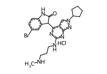 CNCCCNc1nc(C2C(=O)Nc3ccc(Br)cc32)c2cn(C3CCCC3)nc2n1.Cl